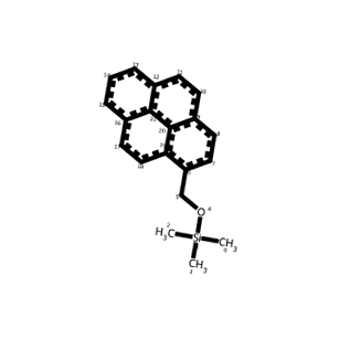 C[Si](C)(C)OCc1ccc2ccc3cccc4ccc1c2c34